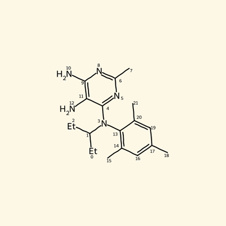 CCC(CC)N(c1nc(C)nc(N)c1N)c1c(C)cc(C)cc1C